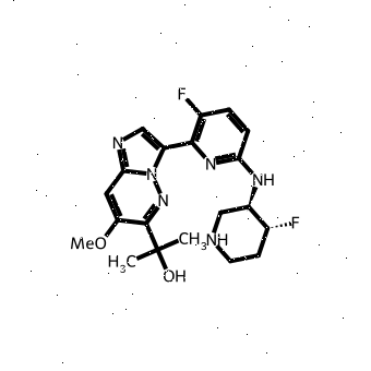 COc1cc2ncc(-c3nc(N[C@@H]4CNCC[C@H]4F)ccc3F)n2nc1C(C)(C)O